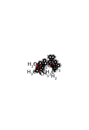 C=CC1=C(/C=C\C)C(c2ccc(C=C)cc2)(c2ccc(C)cc2C)c2cc(N(c3cccc4ccccc34)c3ccc(-c4ccc(N(c5ccc6c(c5)C(c5ccc(C=C)cc5)(c5ccc(C)cc5C)c5ccccc5-6)c5cccc6ccccc56)c5ccccc45)c4ccccc34)ccc21